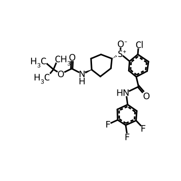 CC(C)(C)OC(=O)N[C@H]1CC[C@H]([S+]([O-])c2cc(C(=O)Nc3cc(F)c(F)c(F)c3)ccc2Cl)CC1